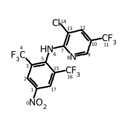 O=[N+]([O-])c1cc(C(F)(F)F)c(Nc2ncc(C(F)(F)F)cc2Cl)c(C(F)(F)F)c1